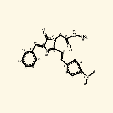 CN(C)c1ccc(/C=C/C2=NC(=C\c3ccccc3)/C(=O)N2CC(=O)OC(C)(C)C)cc1